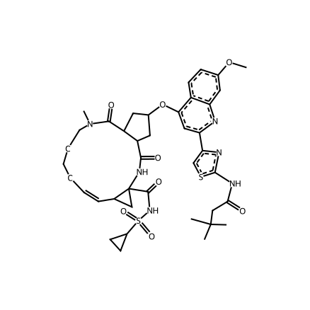 COc1ccc2c(OC3CC4C(=O)NC5(C(=O)NS(=O)(=O)C6CC6)CC5C=CCCCCN(C)C(=O)C4C3)cc(-c3csc(NC(=O)CC(C)(C)C)n3)nc2c1